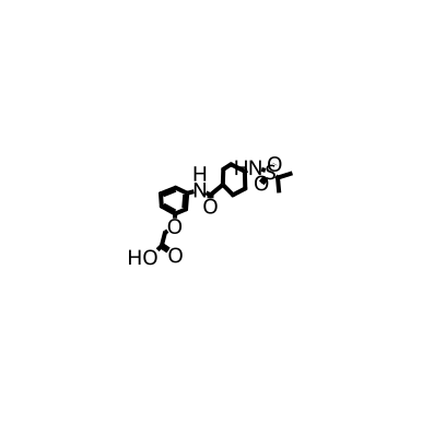 CC(C)S(=O)(=O)NC1CCC(C(=O)Nc2cccc(OCC(=O)O)c2)CC1